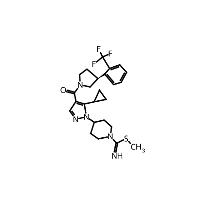 CSC(=N)N1CCC(n2ncc(C(=O)N3CC[C@@H](c4ccccc4C(F)(F)F)C3)c2C2CC2)CC1